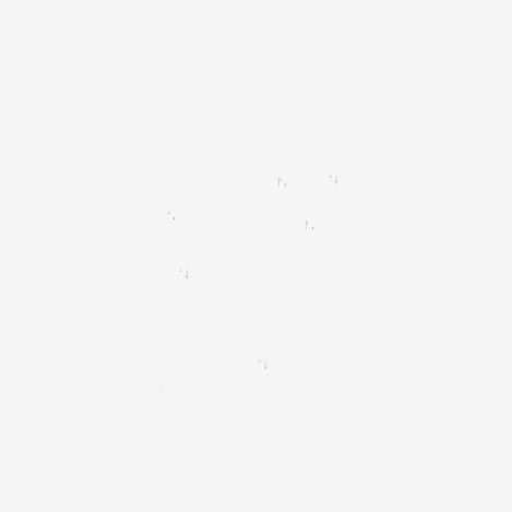 N#Cc1cc(-c2nc(-c3ccccc3)nc(-c3ccccc3)n2)ccc1-n1c2ccccc2c2cc3oc4ccc5c6ccccc6n(-c6ccccc6)c5c4c3cc21